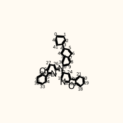 c1ccc(-c2ccc3ccc(N(c4cnc5oc6ccccc6c5c4)c4ccc5oc6ccccc6c5n4)cc3c2)cc1